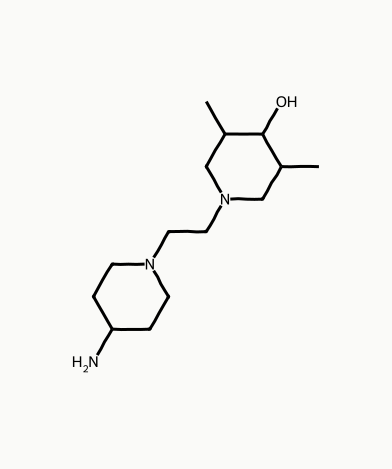 CC1CN(CCN2CCC(N)CC2)CC(C)C1O